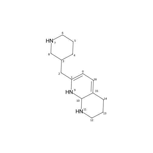 C1=C(CC2CCCNC2)NC2NCCCC2=C1